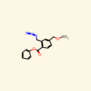 [N-]=[N+]=NCc1cc(CO[N+](=O)[O-])ccc1C(=O)Oc1ccccc1